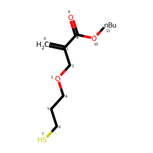 C=C(COCCCS)C(=O)OCCCC